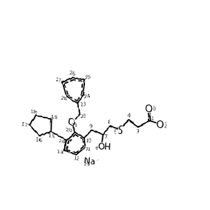 O=C([O-])CCSCC(O)Cc1cccc(C2CCCC2)c1OCc1ccccc1.[Na+]